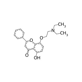 CCN(CC)CCOc1ccc(O)c2c(=O)cc(-c3ccccc3)oc12